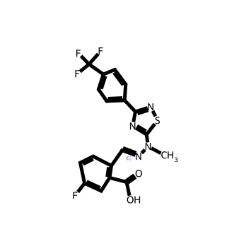 CN(/N=C/c1ccc(F)cc1C(=O)O)c1nc(-c2ccc(C(F)(F)F)cc2)ns1